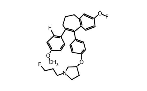 COc1ccc(C2=C(c3ccc(O[C@H]4CCN(CCCF)C4)cc3)c3ccc(OF)cc3CCC2)c(F)c1